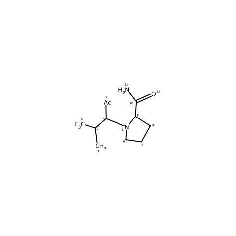 CC(=O)C(C(C)C(F)(F)F)N1CCCC1C(N)=O